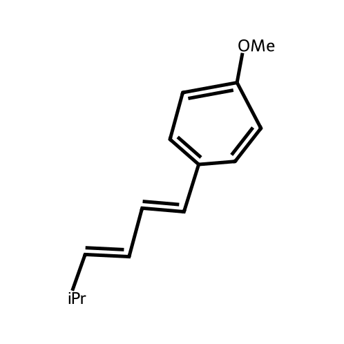 COc1ccc(/C=C/C=C/C(C)C)cc1